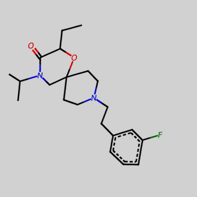 CCC1OC2(CCN(CCc3cccc(F)c3)CC2)CN(C(C)C)C1=O